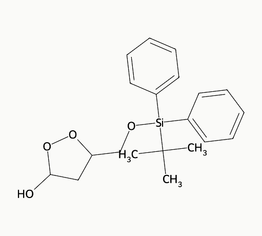 CC(C)(C)[Si](OCC1CC(O)OO1)(c1ccccc1)c1ccccc1